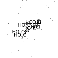 O=C(O)CC(=COOC=C(CC(=O)O)C(=O)OC(Cl)c1ccccc1)C(=O)O.O=C(O)O